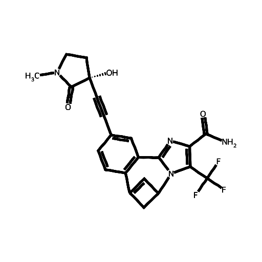 CN1CC[C@@](O)(C#Cc2ccc3c(c2)-c2nc(C(N)=O)c(C(F)(F)F)n2C2C=C3C2)C1=O